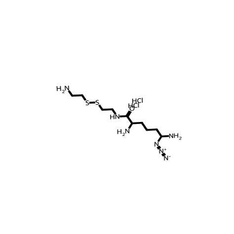 Cl.Cl.[N-]=[N+]=NC(N)CCCC(N)C(=O)NCCSSCCN